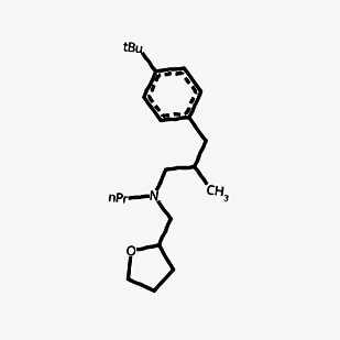 CCCN(CC(C)Cc1ccc(C(C)(C)C)cc1)CC1CCCO1